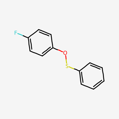 Fc1ccc(OSc2ccccc2)cc1